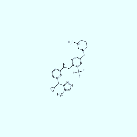 C[C@H]1CCCN(Cc2cnc(CNc3cccc(C(c4nncn4C)C4CC4)c3)c(C(F)(F)F)c2)C1